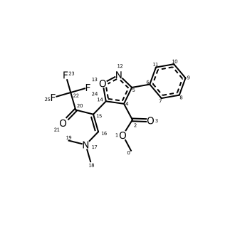 COC(=O)c1c(-c2ccccc2)noc1C(=CN(C)C)C(=O)C(F)(F)F